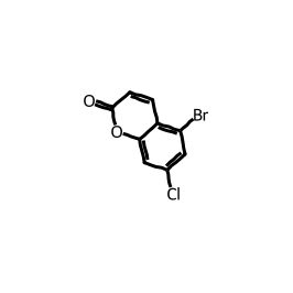 O=c1ccc2c(Br)cc(Cl)cc2o1